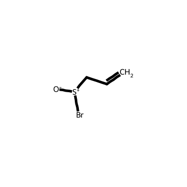 C=CC[S+]([O-])Br